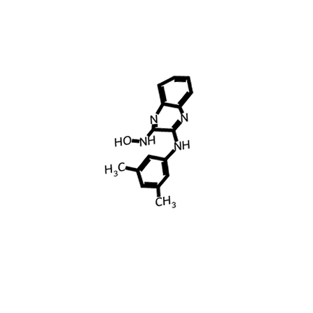 Cc1cc(C)cc(Nc2nc3ccccc3nc2NO)c1